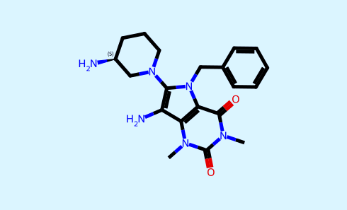 Cn1c(=O)c2c(c(N)c(N3CCC[C@H](N)C3)n2Cc2ccccc2)n(C)c1=O